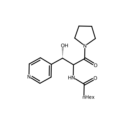 CCCCCCC(=O)NC(C(=O)N1CCCC1)[C@@H](O)c1ccncc1